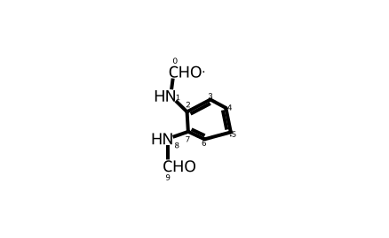 O=[C]Nc1cc[c]cc1NC=O